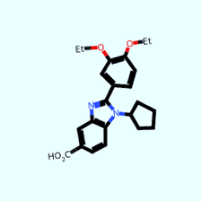 CCOc1ccc(-c2nc3cc(C(=O)O)ccc3n2C2CCCC2)cc1OCC